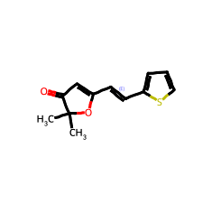 CC1(C)OC(/C=C/c2cccs2)=CC1=O